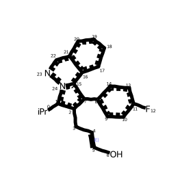 CC(C)c1c(C/C=C/O)c(-c2ccc(F)cc2)c2c3ccccc3cnn12